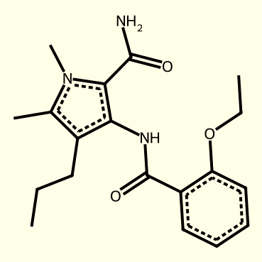 CCCc1c(NC(=O)c2ccccc2OCC)c(C(N)=O)n(C)c1C